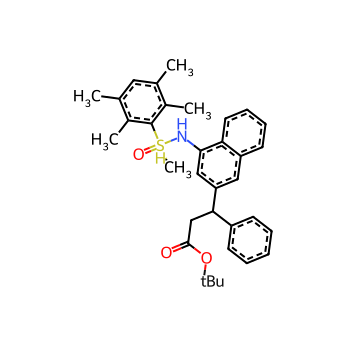 Cc1cc(C)c(C)c([SH](C)(=O)Nc2cc(C(CC(=O)OC(C)(C)C)c3ccccc3)cc3ccccc23)c1C